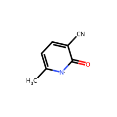 CC1=CC=C(C#N)C(=O)[N]1